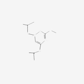 CSC1=NC(NC(C)C)=CN(NC(C)C)N1